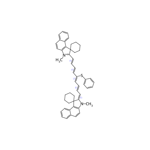 CN1/C(=C/C=C/C=C(/C=C/C=C/C2=[N+](C)c3ccc4ccccc4c3C23CCCCC3)Sc2ccccc2)C2(CCCCC2)c2c1ccc1ccccc21